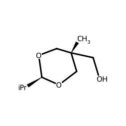 CC(C)[C@H]1OC[C@](C)(CO)CO1